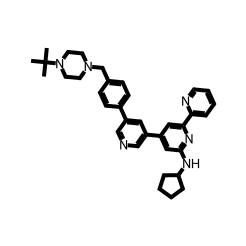 CC(C)(C)N1CCN(Cc2ccc(-c3cncc(-c4cc(NC5CCCC5)nc(-c5ccccn5)c4)c3)cc2)CC1